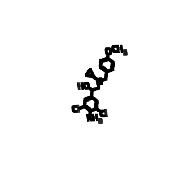 COc1ccc(CN(CC(O)c2cc(Cl)c(N)c(Cl)c2)C2CC2)cc1